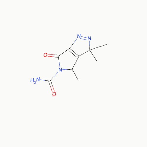 CC1C2=C(N=NC2(C)C)C(=O)N1C(N)=O